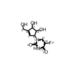 O=c1[nH]c(=O)n(C2C=C(CO)C(O)C2O)cc1F